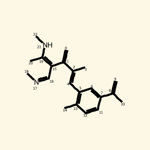 C=C(/C(C)=C/c1cc(C(=C)C)ccc1C)C(/C=N\C)=C(/C)NC